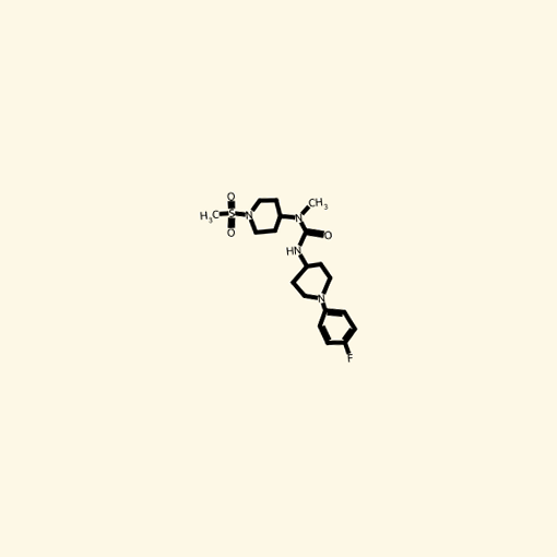 CN(C(=O)NC1CCN(c2ccc(F)cc2)CC1)C1CCN(S(C)(=O)=O)CC1